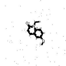 CCn1c(=O)ccc2cc(OC)ccc21